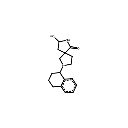 O=C1NC(O)CC12CCN(C1CCCc3ccccc31)C2